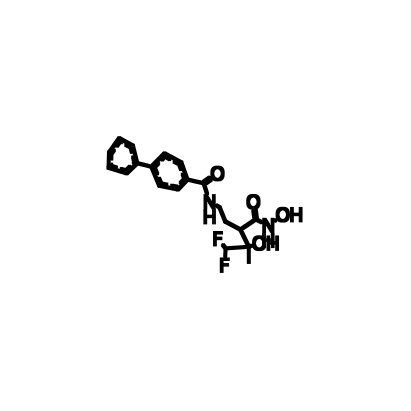 CC(O)(C(F)F)C(CCNC(=O)c1ccc(-c2ccccc2)cc1)C(=O)NO